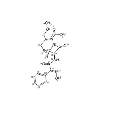 COCC1=C(C(=O)O)N2C(=O)[C@@H](NC(=O)C(=NO)c3ccccc3)[C@@H]2SC1